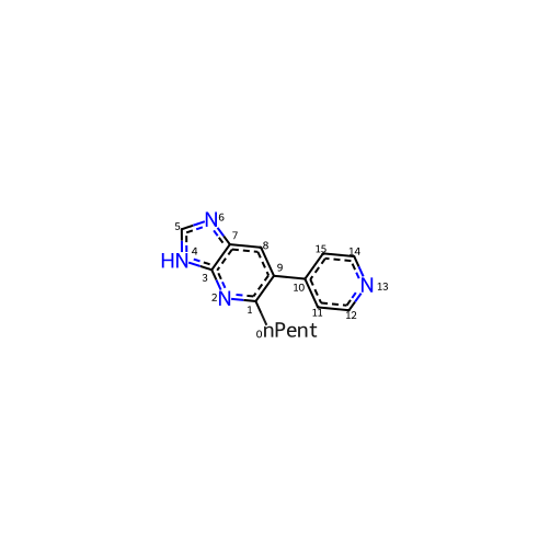 CCCCCc1nc2[nH]cnc2cc1-c1ccncc1